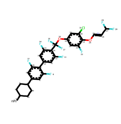 CCCC1CCC(c2cc(F)c(-c3cc(F)c(C(F)(F)Oc4cc(F)c(O/C=C/C(F)F)c(Cl)c4)c(F)c3)c(F)c2)CC1